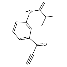 C#CC(=O)c1cccc(NC(=C)C(C)C)c1